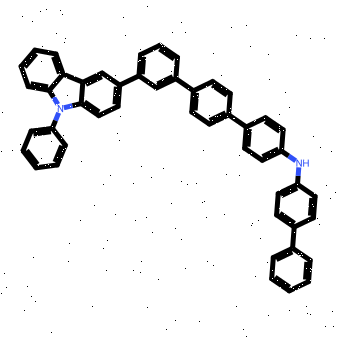 c1ccc(-c2ccc(Nc3ccc(-c4ccc(-c5cccc(-c6ccc7c(c6)c6ccccc6n7-c6ccccc6)c5)cc4)cc3)cc2)cc1